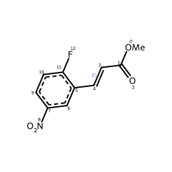 COC(=O)/C=C/c1cc([N+](=O)[O-])ccc1F